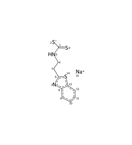 S=C([S-])NCCc1nc2ccccc2s1.[Na+]